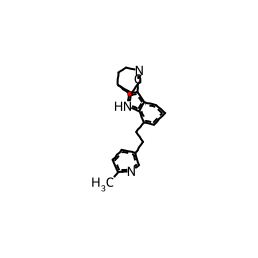 Cc1ccc(CCc2cccc3c4c([nH]c23)C2CCN(CC2)C4)cn1